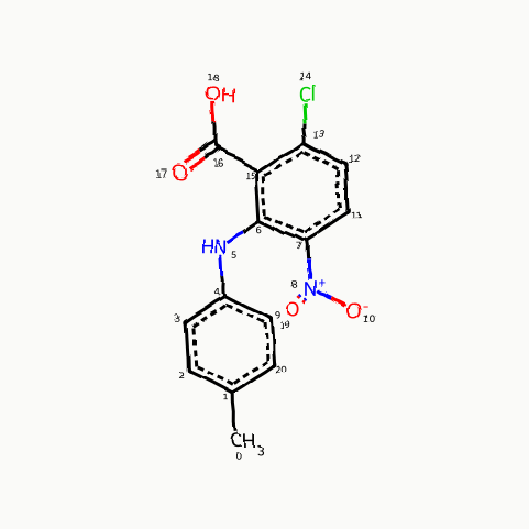 Cc1ccc(Nc2c([N+](=O)[O-])ccc(Cl)c2C(=O)O)cc1